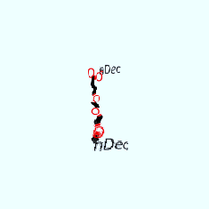 CCCCCCCCCCCOCCOCCOCCCC(=O)OCCCCCCCCCC